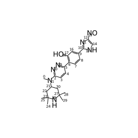 CN(c1ccc(-c2ccc(-c3nc(N=O)c[nH]3)cc2O)nn1)C1CC(C)(C)NC(C)(C)C1